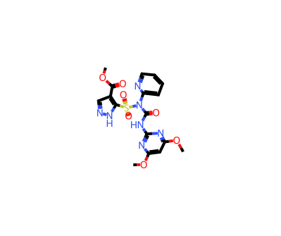 COC(=O)c1cn[nH]c1S(=O)(=O)N(C(=O)Nc1nc(OC)cc(OC)n1)c1ccccn1